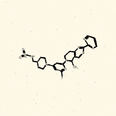 CC1c2cnc(-c3ncccn3)nc2CCN1c1cc(N2CCC(CN[SH](=O)=O)CC2)cc(F)n1